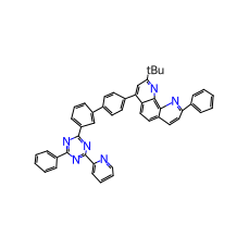 CC(C)(C)c1cc(-c2ccc(-c3cccc(-c4nc(-c5ccccc5)nc(-c5ccccn5)n4)c3)cc2)c2ccc3ccc(-c4ccccc4)nc3c2n1